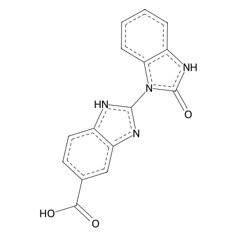 O=C(O)c1ccc2[nH]c(-n3c(=O)[nH]c4ccccc43)nc2c1